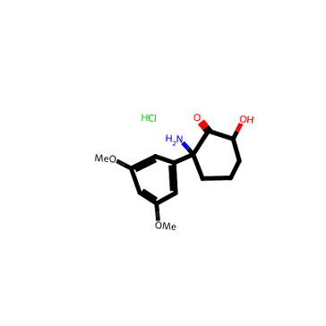 COc1cc(OC)cc(C2(N)CCCC(O)C2=O)c1.Cl